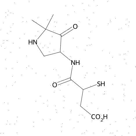 CC1(C)NCC(NC(=O)C(S)CC(=O)O)C1=O